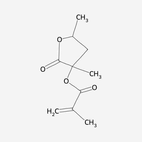 C=C(C)C(=O)OC1(C)CC(C)OC1=O